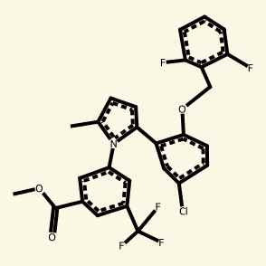 COC(=O)c1cc(-n2c(C)ccc2-c2cc(Cl)ccc2OCc2c(F)cccc2F)cc(C(F)(F)F)c1